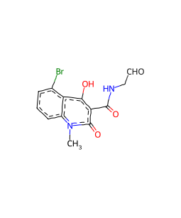 Cn1c(=O)c(C(=O)NCC=O)c(O)c2c(Br)cccc21